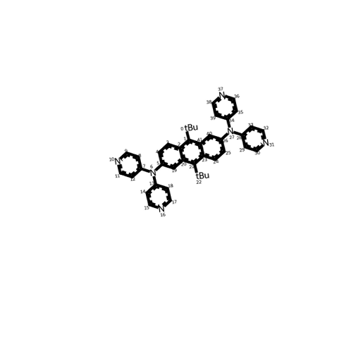 CC(C)(C)c1c2ccc(N(c3ccncc3)c3ccncc3)cc2c(C(C)(C)C)c2ccc(N(c3ccncc3)c3ccncc3)cc12